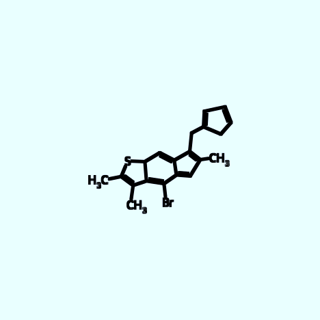 CC1=C(CC2=CC=CC2)C2=CC3SC(C)=C(C)C3=C(Br)C2=C1